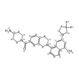 Cc1cc(N2CCC(F)(F)C2)cc2c(N3CCc4ccc(C(=O)N5CCC(N)CC5)cc4C3)ncnc12